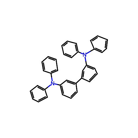 c1ccc(N(c2ccccc2)c2cccc(-c3cccc(N(c4ccccc4)c4ccccc4)c3)c2)cc1